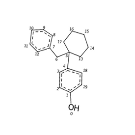 Oc1ccc(C2(Cc3ccccc3)CCCCC2)cc1